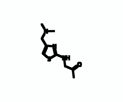 CC(=O)CNc1nc(CN(C)C)cs1